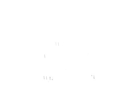 Cc1ccncc1C(N)I